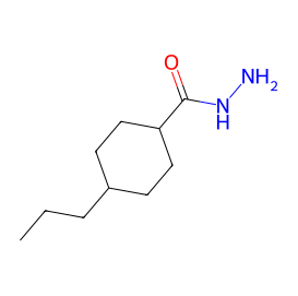 CCCC1CCC(C(=O)NN)CC1